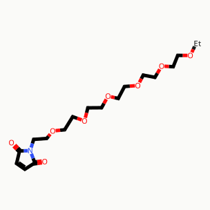 CCOCCOCCOCCOCCOCCOCCN1C(=O)C=CC1=O